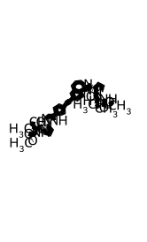 COC(=O)N[C@H](C(=O)N1CCC[C@H]1c1ncc(-c2ccc(C#Cc3ccc4c(c3)CCCc3nc([C@@H]5CCCN5C(=O)[C@@H](NC(=O)OC)C(C)C)[nH]c3-4)cc2)[nH]1)C(C)C